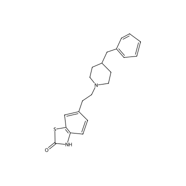 O=c1[nH]c2ccc(CCN3CCC(Cc4ccccc4)CC3)cc2s1